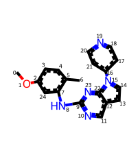 COc1ccc(C)c(Nc2ncc3ccn(-c4ccncc4)c3n2)c1